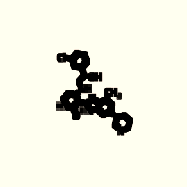 Cc1cc(N2C=NCCC2)cc2[nH]c(-c3c(NC[C@H](O)c4cccc(Cl)c4)cc[nH]c3=O)nc12